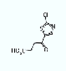 O=C(O)CCC(=O)c1cnc(Cl)s1